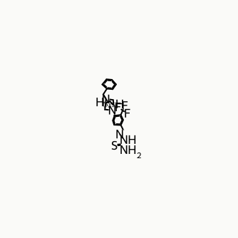 NC(=S)NN=Cc1ccc(N2C[C@@H]3C[C@H]2CN3Cc2ccccc2)c(C(F)(F)F)c1